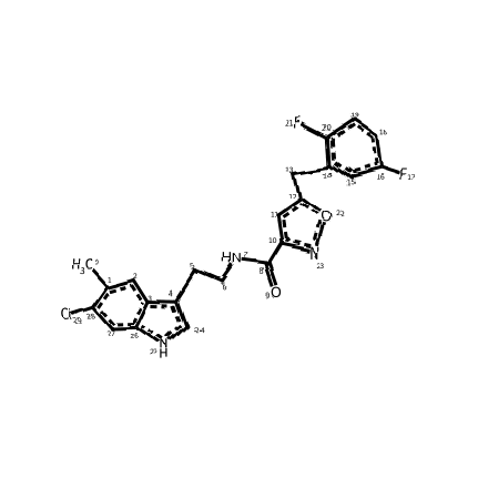 Cc1cc2c(CCNC(=O)c3cc(Cc4cc(F)ccc4F)on3)c[nH]c2cc1Cl